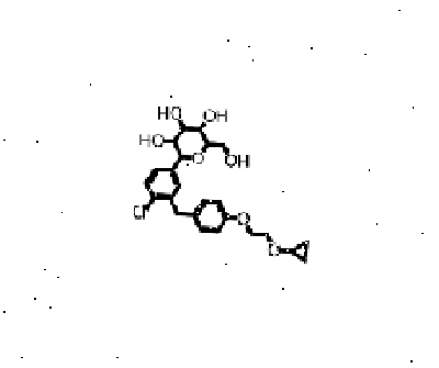 OCC1OC(c2ccc(Cl)c(Cc3ccc(OCCOC4CC4)cc3)c2)C(O)C(O)C1O